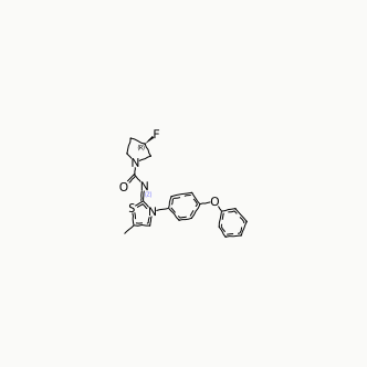 Cc1cn(-c2ccc(Oc3ccccc3)cc2)/c(=N/C(=O)N2CC[C@@H](F)C2)s1